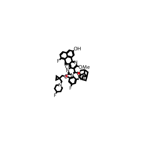 C#Cc1c(F)ccc2cc(O)cc(-c3nc(OC)c4c(N5CC6CC7(C6)CC(C5)C7C(=O)Nc5cc(F)cc(F)c5)nc(OCC5(CN6CCC(F)CC6)CC5)nc4c3F)c12